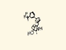 C[C@H](NC(=O)Cc1csc(-c2cccc(C(F)(F)F)c2)n1)C(=O)O